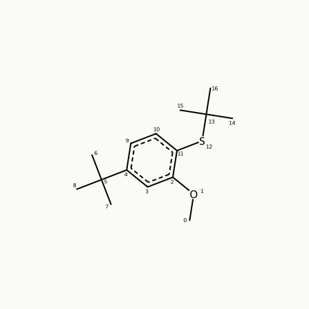 COc1cc(C(C)(C)C)ccc1SC(C)(C)C